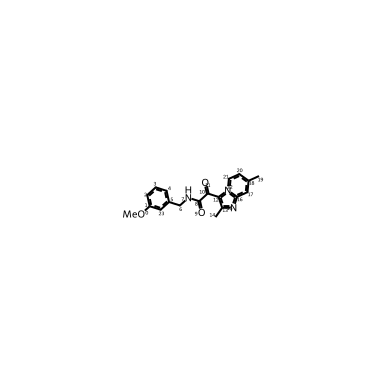 COc1cccc(CNC(=O)C(=O)c2c(C)nc3cc(C)ccn23)c1